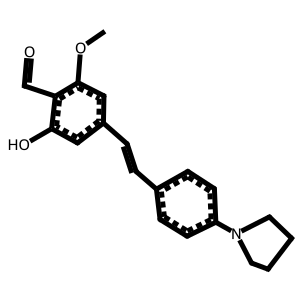 COc1cc(C=Cc2ccc(N3CCCC3)cc2)cc(O)c1C=O